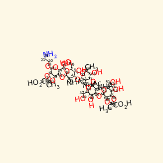 CC(=O)NC1C(OC2C(O)C(CO)OC(OC3C(CO)OC(OCCN)C4O[C@@](C)(C(=O)O)OC34)C2NC(C)=O)OC(C)C(O)C1OC1OC(CO)C(O)C(OC2OC(CO)C(O)C3O[C@](C)(C(=O)O)OC23)C1NC(C)=O